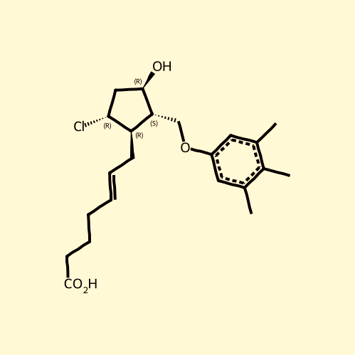 Cc1cc(OC[C@@H]2[C@@H](CC=CCCCC(=O)O)[C@H](Cl)C[C@H]2O)cc(C)c1C